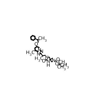 Cc1cc(OC[C@H](C)c2ccccc2)cn2nc(C(C)CN3CC4(CN(C(=O)OC(C)(C)C)C4)NC3=O)nc12